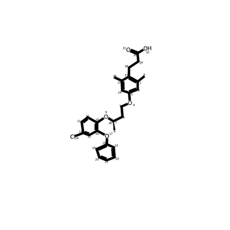 Cc1cc(OCC[C@@H](C)Oc2ccc(Cl)cc2Oc2ccccc2)cc(C)c1CCC(=O)O